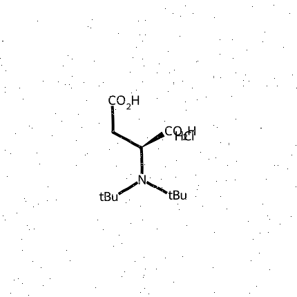 CC(C)(C)N([C@@H](CC(=O)O)C(=O)O)C(C)(C)C.Cl